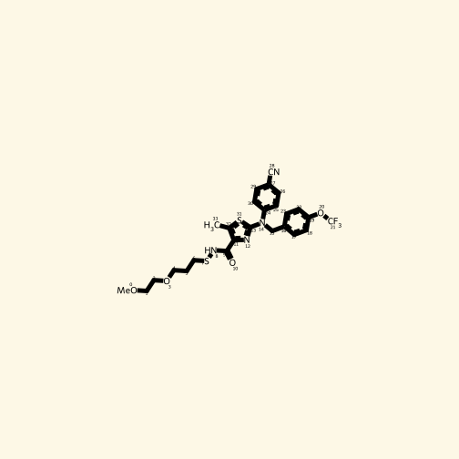 COCCOCCCSNC(=O)c1nc(N(Cc2ccc(OC(F)(F)F)cc2)c2ccc(C#N)cc2)sc1C